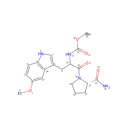 CCOc1ccc2[nH]cc(CC(NC(=O)OC(C)(C)C)C(=O)N3CCC[C@H]3C(N)=O)c2c1